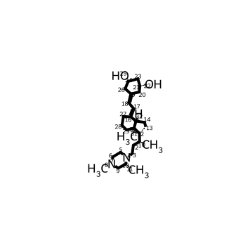 C[C@H](CCN1CCN(C)C[C@H]1C)[C@H]1CC[C@H]2/C(=C/C=C3C[C@@H](O)C[C@H](O)C3)CCC[C@]12C